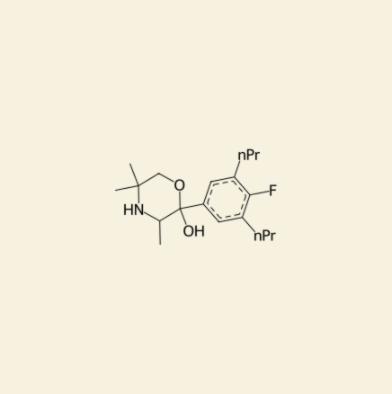 CCCc1cc(C2(O)OCC(C)(C)NC2C)cc(CCC)c1F